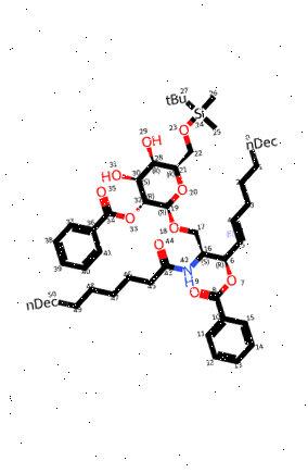 CCCCCCCCCCCCC/C=C/[C@@H](OC(=O)c1ccccc1)[C@H](CO[C@@H]1O[C@H](CO[Si](C)(C)C(C)(C)C)[C@H](O)[C@H](O)[C@H]1OC(=O)c1ccccc1)NC(=O)CCCCCCCCCCCCCCC